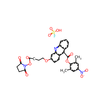 Cc1cc([N+](=O)[O-])cc(C)c1OC(=O)c1c2ccccc2nc2cc(OCCCC(=O)ON3C(=O)CCC3=O)ccc12.O=S(=O)(O)F